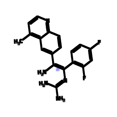 Cc1ccnc2ccc(/C(N)=C(/N=C(N)N)c3ccc(F)cc3F)cc12